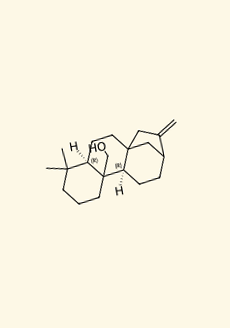 C=C1CC23CC[C@@H]4C(C)(C)CCCC4(CO)[C@@H]2CCC1C3